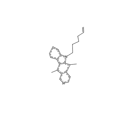 C=CCCCCn1c2ccccc2c2c(C)c3cnccc3c(C)c21